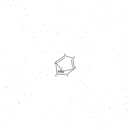 c1cc2[nH]c1CC2